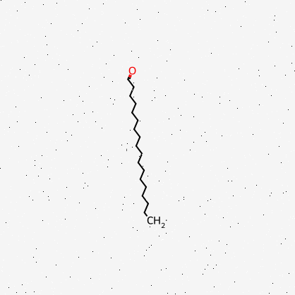 [CH2]CCCCCCCCCCCCCCCCC=O